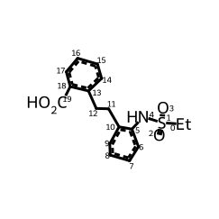 CCS(=O)(=O)Nc1ccccc1CCc1ccccc1C(=O)O